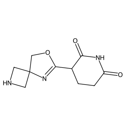 O=C1CCC(C2=NC3(CNC3)CO2)C(=O)N1